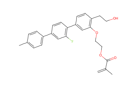 C=C(C)C(=O)OCCOc1cc(-c2ccc(-c3ccc(C)cc3)cc2F)ccc1CCO